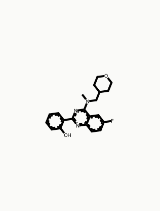 CN(CC1CCOCC1)c1nc(-c2ccccc2O)nc2ccc(F)cc12